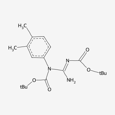 Cc1ccc(N(C(=O)OC(C)(C)C)C(N)=NC(=O)OC(C)(C)C)cc1C